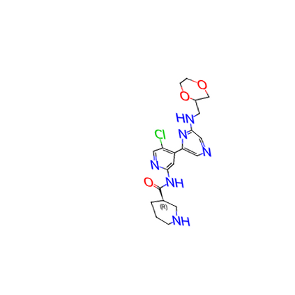 O=C(Nc1cc(-c2cncc(NCC3COCCO3)n2)c(Cl)cn1)[C@@H]1CCCNC1